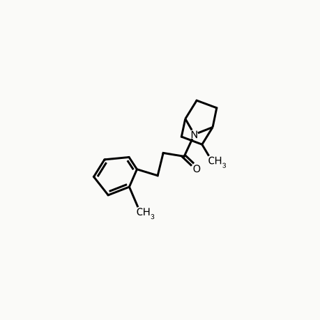 Cc1ccccc1CCC(=O)N1C2CCC1C(C)C2